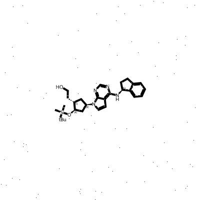 CC(C)(C)[Si](C)(C)O[C@@H]1C[C@H](n2ccc3c(N[C@H]4CCc5ccccc54)ncnc32)C[C@H]1CCO